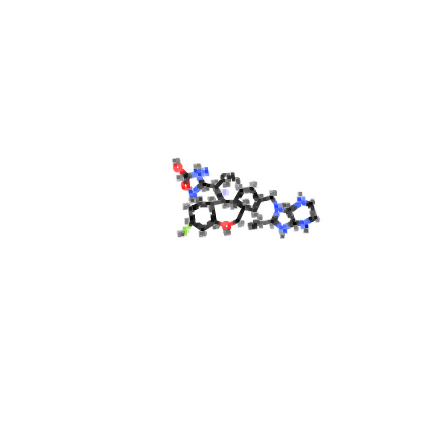 CCCc1nc2nccnc2n1Cc1ccc2c(c1)COc1cc(F)ccc1/C2=C(/C)c1noc(=O)[nH]1